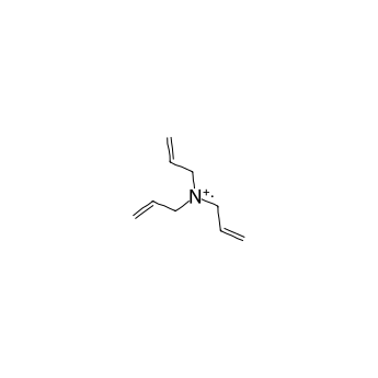 C=CC[N+](CC=C)CC=C